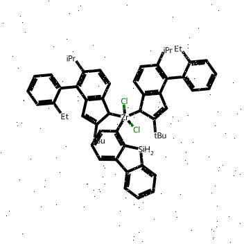 CCc1ccccc1-c1c(C(C)C)ccc2c1C=C(C(C)(C)C)[CH]2[Zr]([Cl])([Cl])([c]1cccc2c1[SiH2]c1ccccc1-2)[CH]1C(C(C)(C)C)=Cc2c1ccc(C(C)C)c2-c1ccccc1CC